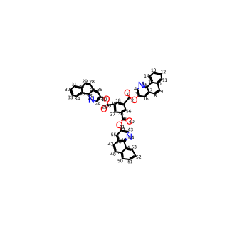 O=C(Oc1cnc2c(ccc3ccccc32)c1)c1cc(C(=O)Oc2cnc3c(ccc4ccccc43)c2)cc(C(=O)Oc2cnc3c(ccc4ccccc43)c2)c1